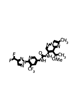 CO[C@@H](C)c1c(NC(=O)Nc2cnc(-n3ncc(C(F)F)n3)c(C(F)(F)F)c2)cnn2cc(C)nc12